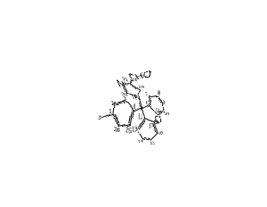 Cc1ccc(C(c2ccccc2)(c2ccccc2Cl)n2cnc(C=O)c2)cc1